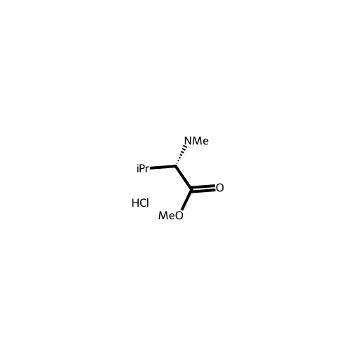 CN[C@H](C(=O)OC)C(C)C.Cl